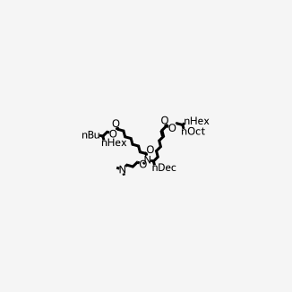 CCCCCCCCCCC(CCCCC=CC(=O)OCC(CCCCCC)CCCCCCCC)N(OCCCN(C)C)C(=O)CCCCCCC(=O)OCC(CCCC)CCCCCC